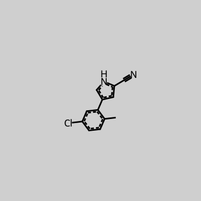 Cc1ccc(Cl)cc1-c1c[nH]c(C#N)c1